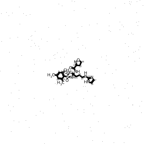 Cc1cc(C)c(S(=O)(=O)NC(CCCNc2ncc[nH]2)(NC(=O)C2=NOCC2)C(=O)O)c(C)c1